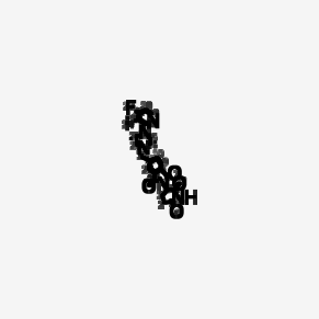 O=C1CCC(N2C(=O)c3ccc(CN4CCN(c5nccc(F)c5F)CC4)cc3C2=O)C(=O)N1